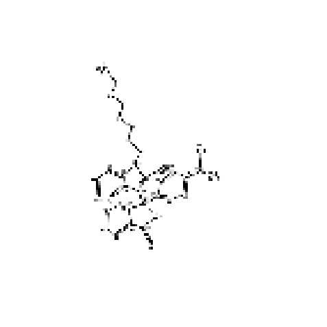 CCCCCCCCn1c(C)c(C2(c3ccc(N(C)C)cc3)OC(=O)c3ccccc32)c2ccccc21